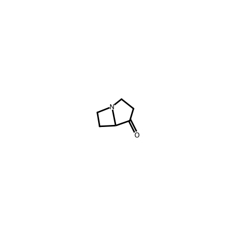 O=C1CCN2CCC12